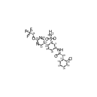 NS(=O)(=O)c1cc(NC(=O)Cc2ccccc2Cl)ccc1-c1cnc(OCC(F)(F)F)nc1